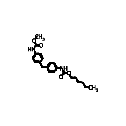 CCCCCCOC(=O)Nc1ccc(Cc2ccc(NC(=O)OC)cc2)cc1